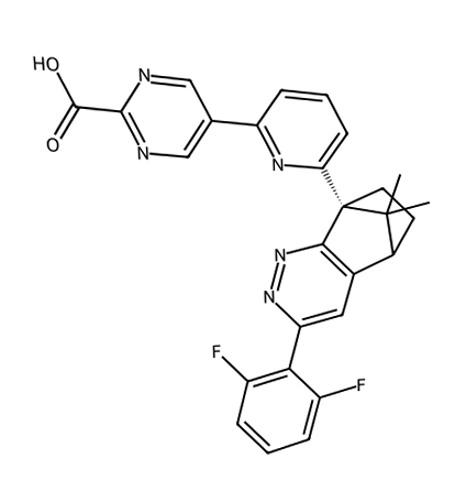 CC1(C)C2CC[C@]1(c1cccc(-c3cnc(C(=O)O)nc3)n1)c1nnc(-c3c(F)cccc3F)cc12